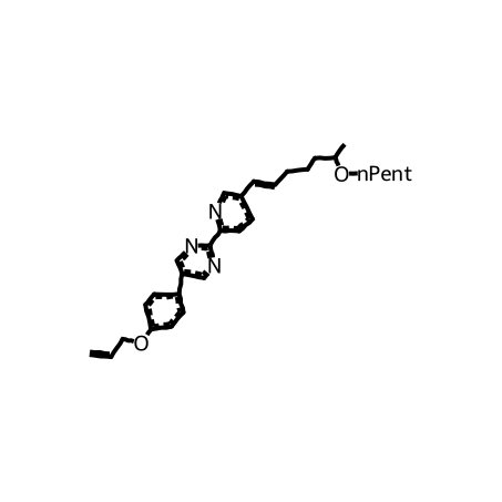 C=CCOc1ccc(-c2cnc(-c3ccc(C=CCCCC(C)OCCCCC)cn3)nc2)cc1